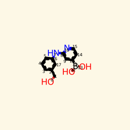 OCc1cccc(Nc2cc(B(O)O)ccn2)c1